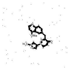 COc1ccnc2ccc(Cc3nn(-c4cnn(C)c4)ccc3=O)cc12